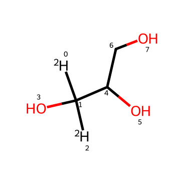 [2H]C([2H])(O)C(O)CO